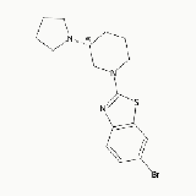 Brc1ccc2nc(N3CCC[C@@H](N4CCCC4)C3)sc2c1